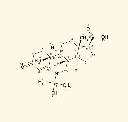 CC(C)(C)N1C[C@H]2[C@@H]3CC[C@H](C(=O)O)[C@@]3(C)CC[C@@H]2[C@@]2(C)CCC(=O)C=C12